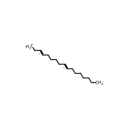 [CH2]CCCCCC/C=C/CCCC/C=C/CC